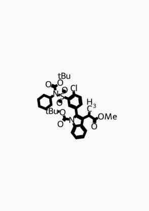 COC(=O)C(C)c1c(-c2ccc(Cl)c(S(=O)(=O)N(C(=O)OC(C)(C)C)C3CCCCC3)c2)n(C(=O)OC(C)(C)C)c2ccccc12